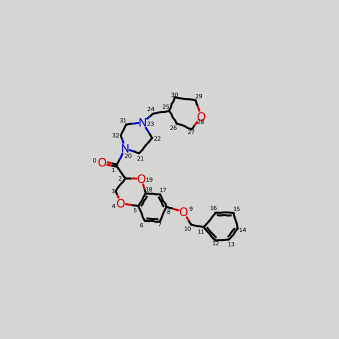 O=C(C1COc2ccc(OCc3ccccc3)cc2O1)N1CCN(CC2CCOCC2)CC1